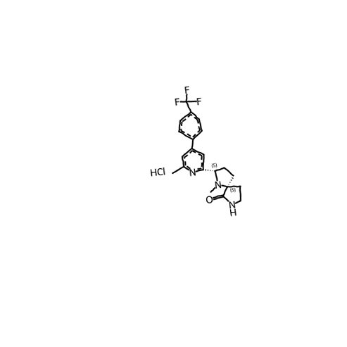 Cc1cc(-c2ccc(C(F)(F)F)cc2)cc([C@@H]2CC[C@@]3(CCNC3=O)N2C)n1.Cl